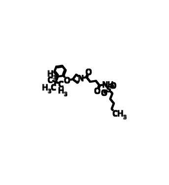 CCCCCS(=O)(=O)NC(=O)CCC(=O)N1CC(Oc2ccccc2C(C)(C)C)C1